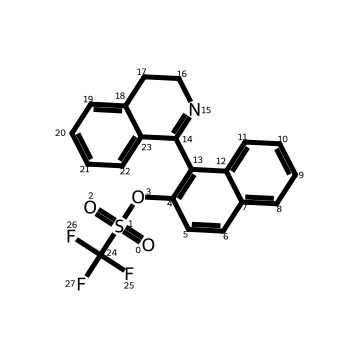 O=S(=O)(Oc1ccc2ccccc2c1C1=NCCc2ccccc21)C(F)(F)F